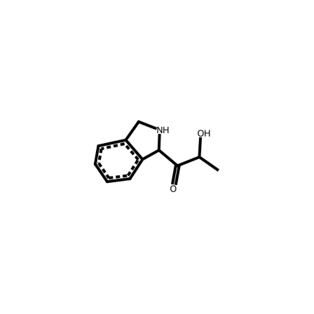 CC(O)C(=O)C1NCc2ccccc21